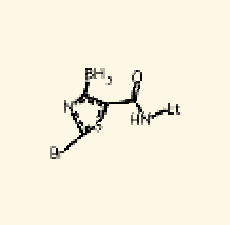 Bc1nc(Br)sc1C(=O)NCC